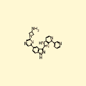 NC1CN(c2cncc(-c3ccc4[nH]nc(-c5nc6c(-c7cccnc7)nccc6[nH]5)c4c3)n2)C1